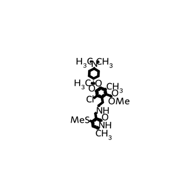 COC(=O)c1c(C)c2c(c(Cl)c1CCNCc1c(SC)cc(C)[nH]c1=O)OC(C)([C@H]1CC[C@H](N(C)C)CC1)O2